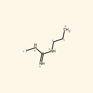 CCCNC(=N)NI